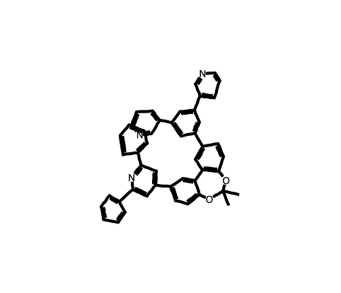 CC1(C)Oc2ccc(-c3cc(-c4cccnc4)cc(-c4cccnc4)c3)cc2-c2cc(-c3cc(-c4ccccc4)nc(-c4ccccc4)c3)ccc2O1